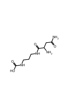 NC(=O)CC(N)C(=O)NCCCNC(=O)O